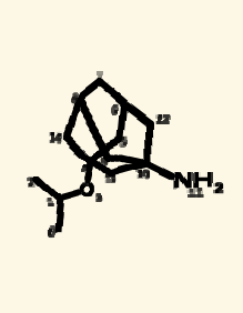 CC(C)OC12CC3CC(CC(N)(C3)C1)C2